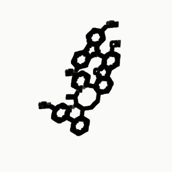 C=C1C2C(CCc3ccc4c(oc5c(-n6c7cc(C(C)(C)C)ccc7c7ccc(C(C)(C)C)cc76)c(C#N)ccc54)c3-c3cccc[n+]31)c1ccccc1-c1ccc(C(C)(C)C)c[n+]12